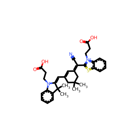 CC1(C)CC(/C=C2/N(CCC(=O)O)c3ccccc3C2(C)C)=CC(=C(\C#N)c2sc3ccccc3[n+]2CCC(=O)O)/C1